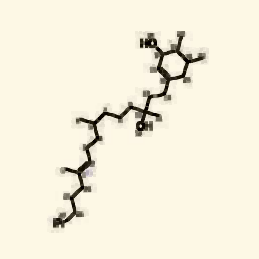 C/C(=C\CCC(C)CCCC(C)(O)CCC1=CC(O)C(C)C(C)C1)CCCC(C)C